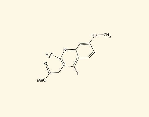 CBc1ccc2c(I)c(CC(=O)OC)c(C)nc2c1